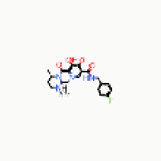 CCCN1CC[C@@H](C)N2C(=O)c3c(O)c(=O)c(C(=O)NCc4ccc(F)cc4)cn3C[C@H]12